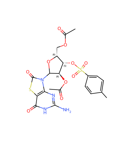 CC(=O)OC[C@H]1OC(n2c(=O)sc3c(=O)[nH]c(N)nc32)[C@H](OC(C)=O)[C@H]1OS(=O)(=O)c1ccc(C)cc1